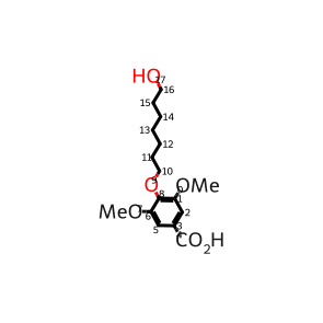 COc1cc(C(=O)O)cc(OC)c1OCCCCCCCO